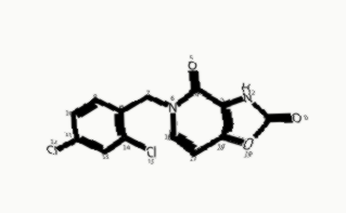 O=c1[nH]c2c(=O)n(Cc3ccc(Cl)cc3Cl)ccc2o1